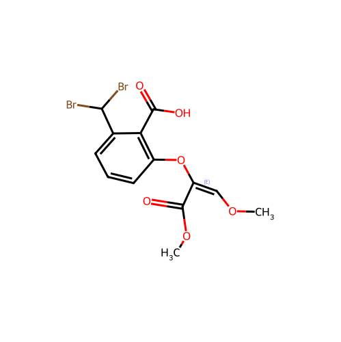 CO/C=C(/Oc1cccc(C(Br)Br)c1C(=O)O)C(=O)OC